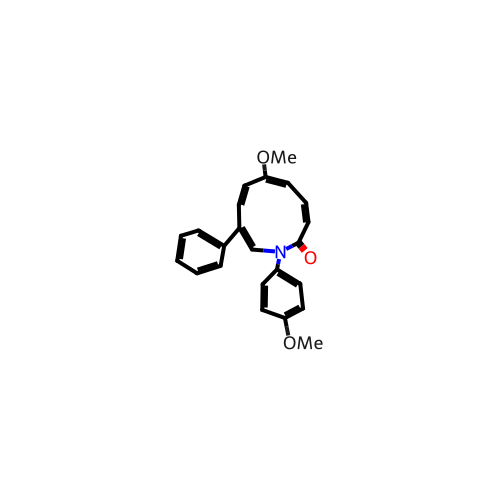 COc1cccc(=O)n(-c2ccc(OC)cc2)cc(-c2ccccc2)cc1